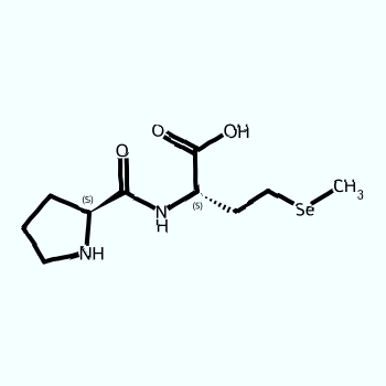 C[Se]CC[C@H](NC(=O)[C@@H]1CCCN1)C(=O)O